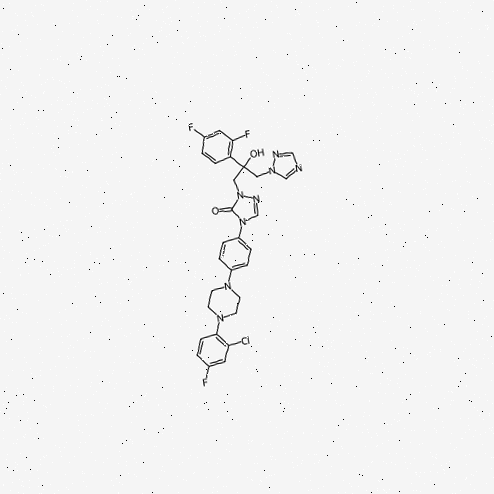 O=c1n(-c2ccc(N3CCN(c4ccc(F)cc4Cl)CC3)cc2)cnn1CC(O)(Cn1cncn1)c1ccc(F)cc1F